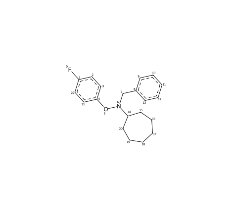 Fc1ccc(ON(Cc2ccccc2)C2CCCCCC2)cc1